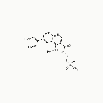 CC(C)Nc1c(C(=O)NCCS(C)(=O)=O)cnc2ccc(/C(C=N)=C/N)cc12